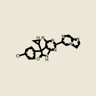 Nc1nc(-c2cn3ccnc3cn2)nc2c1C(c1ccc(Cl)cc1)(C1CC1)C(=O)N2